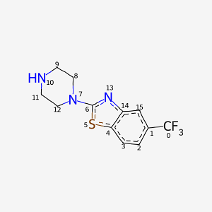 FC(F)(F)c1ccc2sc(N3CCNCC3)nc2c1